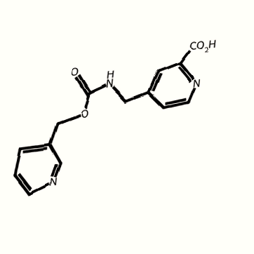 O=C(NCc1ccnc(C(=O)O)c1)OCc1cccnc1